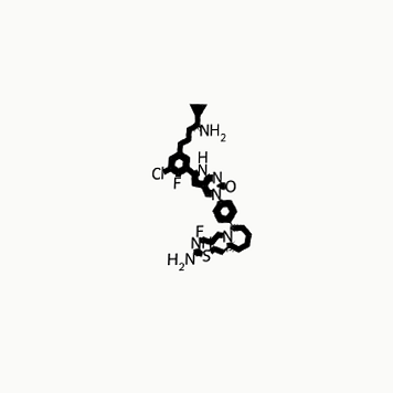 N=C(N)SCC[C@@H]1CCCC[C@@H](c2ccc(-n3cc4cc(-c5cc(CCC[C@@H](N)C6CC6)cc(Cl)c5F)[nH]c4nc3=O)cc2)N1CCCF